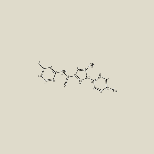 Cc1cc(NC(=O)c2cc(O)n(-c3ccc(F)cn3)n2)ccn1